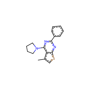 Cc1[c]sc2nc(-c3ccccc3)nc(N3CCCC3)c12